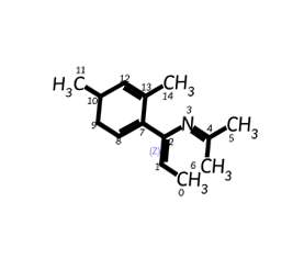 C/C=C(\N=C(C)C)C1=CCC(C)C=C1C